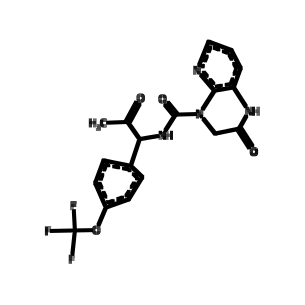 CC(=O)C(NC(=O)N1CC(=O)Nc2cccnc21)c1ccc(OC(F)(F)F)cc1